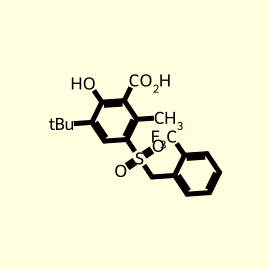 Cc1c(S(=O)(=O)Cc2ccccc2C(F)(F)F)cc(C(C)(C)C)c(O)c1C(=O)O